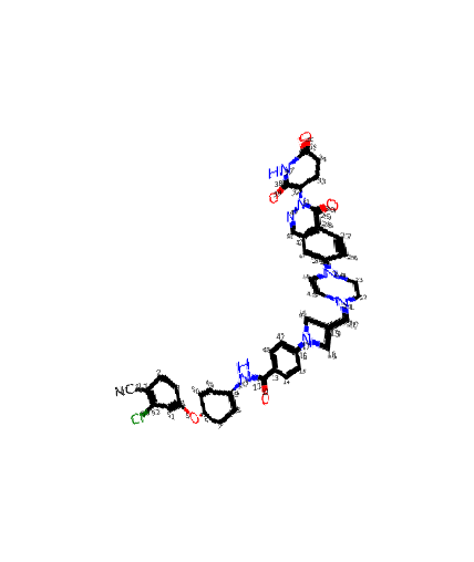 N#Cc1ccc(O[C@H]2CC[C@H](NC(=O)c3ccc(N4CC(CN5CCN(c6ccc7c(=O)n([C@@H]8CCC(=O)NC8=O)ncc7c6)CC5)C4)cc3)CC2)cc1Cl